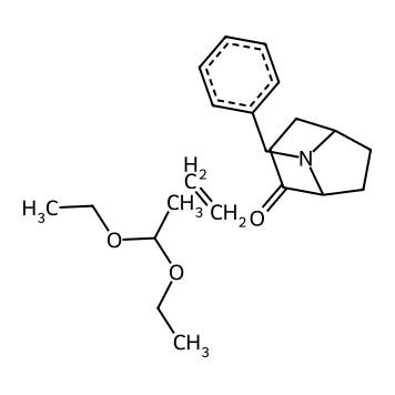 C=C.CCOC(C)OCC.O=C1CCC2CCC1N2Cc1ccccc1